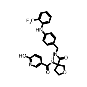 O=C(NC1(C(=O)NCc2ccc(Nc3ccccc3C(F)(F)F)cc2)CCOC1)c1ccc(O)nc1